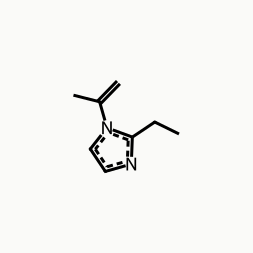 C=C(C)n1ccnc1CC